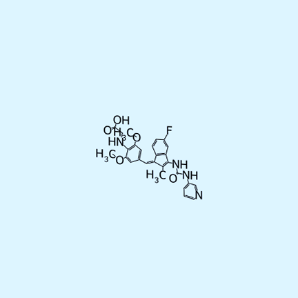 COc1cc(/C=C2/C(C)=C(NC(=O)Nc3cccnc3)c3cc(F)ccc32)cc(OC)c1NCC(=O)O